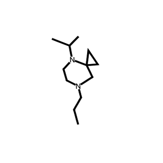 CCCN1CCN(C(C)C)C2(CC2)C1